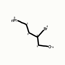 CCCCCC(Br)C[O]